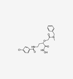 CN(Cc1ccccc1)C(=O)COC(CCNC(=O)c1ccc(Cl)cc1)C(=O)NO